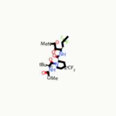 CNC(=O)C(=O)[C@H](CCC(C)(F)F)NC(=O)[C@@H]1C[C@H](C(F)(F)F)CCN1C(=O)[C@@H](NC(=O)OC)C(C)(C)C